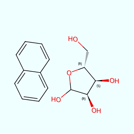 OC[C@H]1OC(O)[C@H](O)[C@@H]1O.c1ccc2ccccc2c1